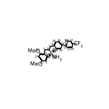 COc1ccc(CC(Cc2ccc(-c3ccc(C(F)(F)F)cn3)cc2)S(N)(=O)=O)c(OC)c1